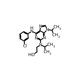 CC(C)N(CCO)c1nc(Nc2cccc(Cl)c2)c2ncn(C(C)C)c2n1